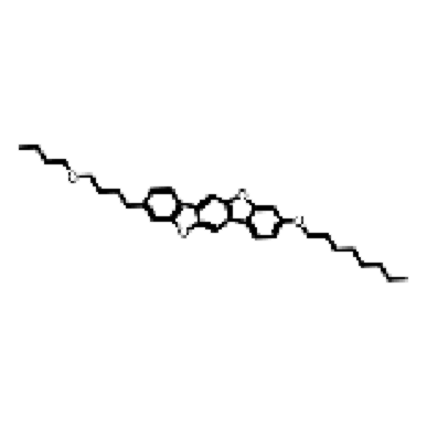 CCCCCCCCOc1ccc2c(c1)oc1cc3c(cc12)oc1cc(CCCCOCCCC)ccc13